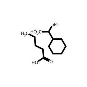 CCCC(C(=O)O)C1CCCCC1.CCCCC(=O)O